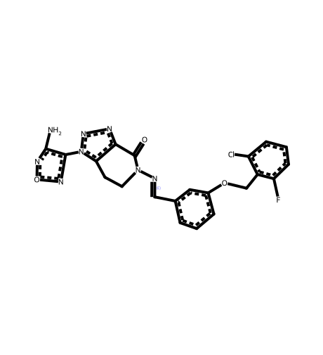 Nc1nonc1-n1nnc2c1CCN(/N=C/c1cccc(OCc3c(F)cccc3Cl)c1)C2=O